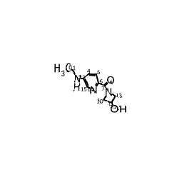 CCNc1ccc(C(=O)N2CC(O)C2)nc1